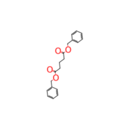 O=C(CCCC(=O)OCc1ccccc1)OCc1ccccc1